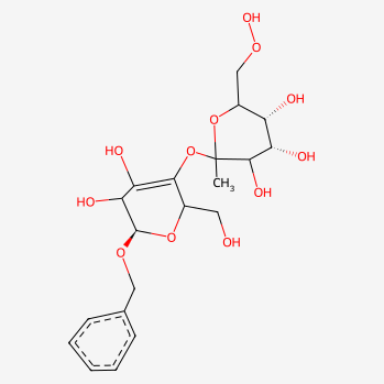 CC1(OC2=C(O)C(O)[C@H](OCc3ccccc3)OC2CO)OC(COO)[C@H](O)[C@H](O)C1O